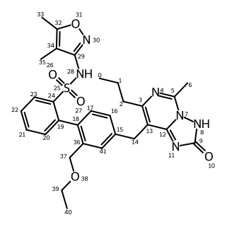 CCCc1nc(C)n2[nH]c(=O)nc2c1Cc1ccc(-c2ccccc2S(=O)(=O)Nc2noc(C)c2C)c(COCC)c1